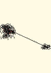 CCCCN(C(=O)OC(C)(C)C)C(C(CCCCCCNC(=O)CCCCCCCCCCCCCCCCCCCCCCCCCCCCCCCCCCCNC(=O)[C@H](O)[C@@H](O)[C@H](O)[C@@H](C)O)CN(CCCC(N(C)C(=O)OC(C)(C)C)N(CCC)C(=O)OC(C)(C)C)C(=O)OC(C)(C)C)(N(C)C(=O)OC(C)(C)C)N(CCC)C(=O)OC(C)(C)C